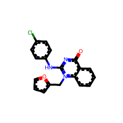 O=c1nc(Nc2ccc(Cl)cc2)n(Cc2ccco2)c2ccccc12